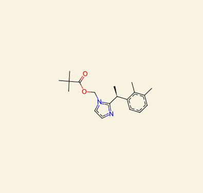 Cc1cccc([C@H](C)c2nccn2COC(=O)C(C)(C)C)c1C